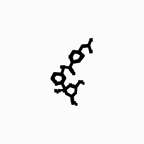 C=C1C[C@@](C)(c2cc(NC(=O)c3ccc(C=C(Cl)Cl)cn3)ccn2)N=C(N)S1